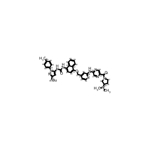 CCCCc1cc(NC(=O)Nc2ccc(OCc3ccnc(Nc4cnc(C(=O)N5CCC(N(C)C)C5)cn4)c3)c3ccccc23)n(-c2ccc(C)cc2)n1